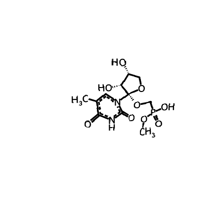 COP(=O)(O)CO[C@@]1(n2cc(C)c(=O)[nH]c2=O)OC[C@@H](O)[C@H]1O